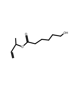 C=CC(C)OC(=O)CCCCCO